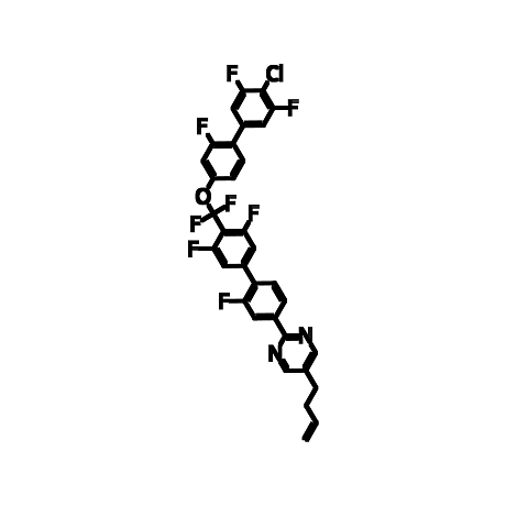 C=CCCc1cnc(-c2ccc(-c3cc(F)c(C(F)(F)Oc4ccc(-c5cc(F)c(Cl)c(F)c5)c(F)c4)c(F)c3)c(F)c2)nc1